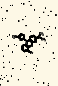 CC(C)c1ccccc1Oc1nc(N(C)C)ccc1Nc1nc(C(F)(F)F)cs1